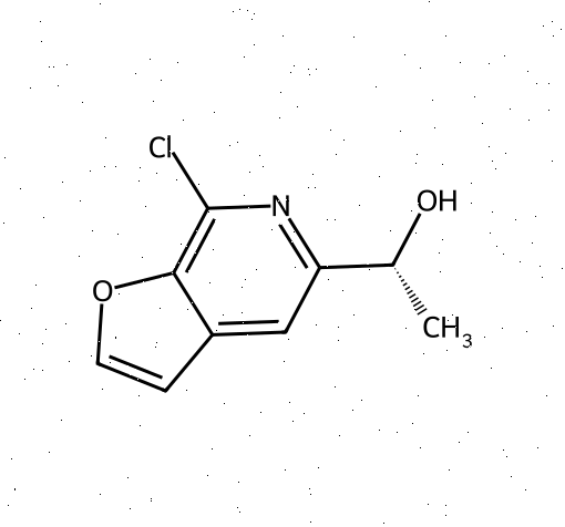 C[C@@H](O)c1cc2ccoc2c(Cl)n1